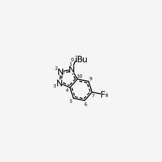 CCC(C)n1nnc2ccc(F)cc21